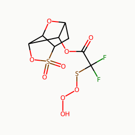 O=C(OC1C2CC3C(O2)C1OS3(=O)=O)C(F)(F)SOOO